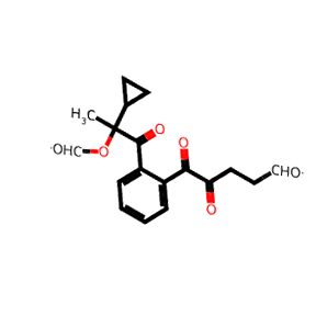 CC(O[C]=O)(C(=O)c1ccccc1C(=O)C(=O)CC[C]=O)C1CC1